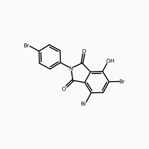 O=C1c2c(Br)cc(Br)c(O)c2C(=O)N1c1ccc(Br)cc1